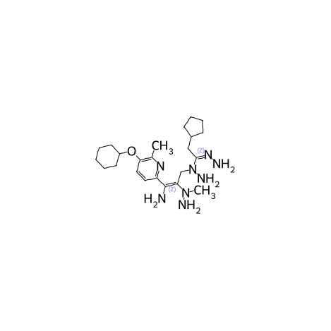 Cc1nc(/C(N)=C(\CN(N)/C(CC2CCCC2)=N\N)N(C)N)ccc1OC1CCCCC1